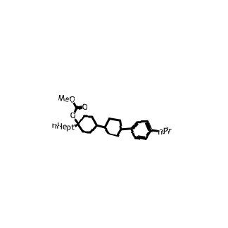 CCCCCCCC1(OC(=O)OC)CCC(C2CCC(c3ccc(CCC)cc3)CC2)CC1